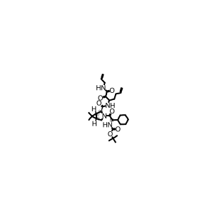 C=CCCC(NC(=O)[C@@H]1[C@@H]2[C@H](CN1C(=O)[C@@H](NC(=O)OC(C)(C)C)C1CCCCC1)C2(C)C)C(=O)C(=O)NCC=C